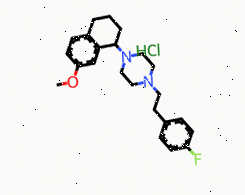 COc1ccc2c(c1)C(N1CCN(CCc3ccc(F)cc3)CC1)CCC2.Cl